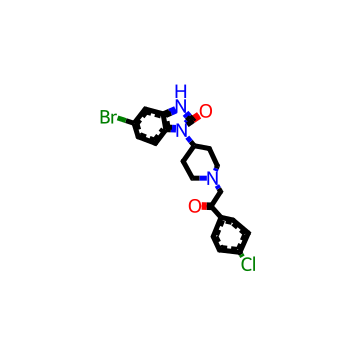 O=C(CN1CCC(n2c(=O)[nH]c3cc(Br)ccc32)CC1)c1ccc(Cl)cc1